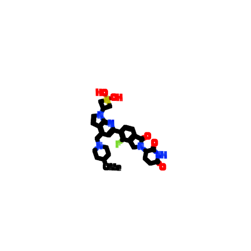 COC1CCN(Cc2cc(-c3ccc4c(c3F)CN(C3CCC(=O)NC3=O)C4=O)nc3c2ccn3C2CS(O)(O)C2)CC1